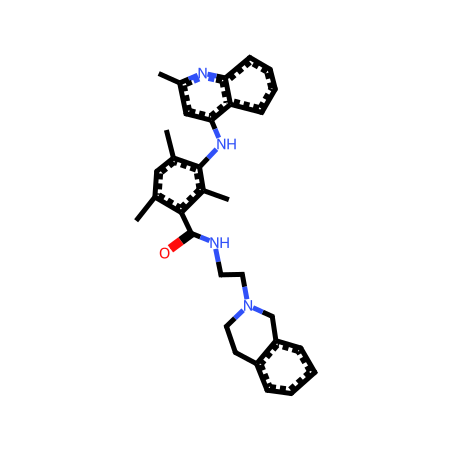 Cc1cc(Nc2c(C)cc(C)c(C(=O)NCCN3CCc4ccccc4C3)c2C)c2ccccc2n1